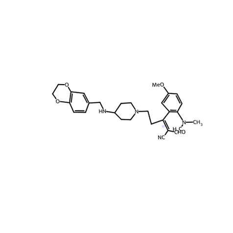 COc1ccc(N(C)C)c(/C(CCN2CCC(NCc3ccc4c(c3)OCCO4)CC2)=C(/C#N)C=O)c1